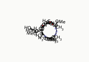 C=C1[C@H](C)C[C@H](C)/C=C/C=C/C=C(\C)C(OCCOC)C[C@@H]2CC[C@@H](C)[C@@](O)(O2)C(=O)C(=O)N2CCCC[C@H]2C(=O)O[C@H]([C@H](C)C[C@@H]2CC[C@@H](OC[C@H](O)CO)[C@H](OC)C2)CC(=O)[C@H](C)/C=C(\C)[C@@H](O)[C@H]1OC